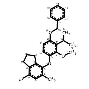 COc1c(Oc2c(C)cc(I)c3c2CCC3)ccc(OCc2ccccc2)c1C(C)C